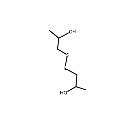 CC(O)CSSCC(C)O